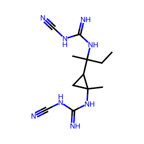 CCC(C)(NC(=N)NC#N)C1CC1(C)NC(=N)NC#N